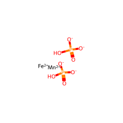 O=P([O-])([O-])O.O=P([O-])([O-])O.[Fe+2].[Mn+2]